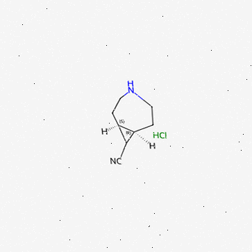 Cl.N#CC1[C@H]2CCNCC[C@@H]12